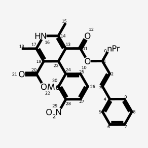 CCCC(C=Cc1ccccc1)OC(=O)C1=C(C)NC(C)=C(C(=O)OC)C1c1cccc([N+](=O)[O-])c1